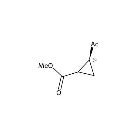 COC(=O)C1C[C@@H]1C(C)=O